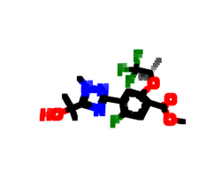 COC(=O)c1cc(F)c(-c2nc(C(C)(C)O)n(C)n2)cc1O[C@@H](C)C(F)(F)F